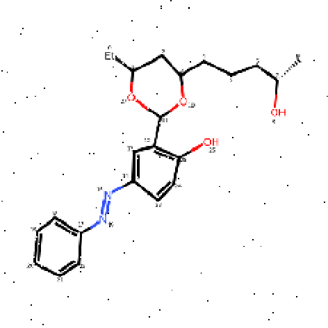 CCC1CC(CCC[C@H](C)O)OC(c2cc(/N=N/c3ccccc3)ccc2O)O1